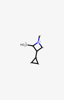 CN1CC(C2CC2)C1C(=O)O